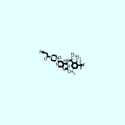 Cc1nc(N[C@H](C)c2cccc(C(F)(F)F)c2C)c2cc(P3(=O)CCN(C(=O)CC#N)CC3)ncc2n1